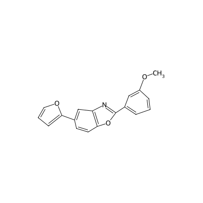 COc1cccc(-c2nc3cc(-c4ccco4)ccc3o2)c1